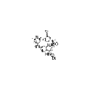 CCONC(=O)c1cnc(Nc2cc(C)nc(C)n2)cc1Nc1c(N(C)S(C)(=O)=O)cc(C2CC2)c2c1C2